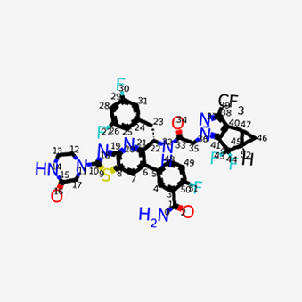 NC(=O)c1cc(-c2cc3sc(N4CCNC(=O)C4)nc3nc2[C@H](Cc2cc(F)cc(F)c2)NC(=O)Cn2nc(C(F)(F)F)c3c2C(F)(F)[C@@H]2CC32)ccc1F